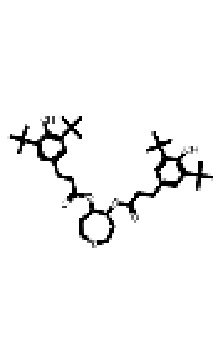 CC(C)(C)c1cc(CCC(=O)OC2CCSCCC2OC(=O)CCc2cc(C(C)(C)C)c(O)c(C(C)(C)C)c2)cc(C(C)(C)C)c1O